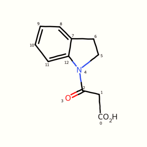 O=C(O)CC(=O)N1CCc2ccccc21